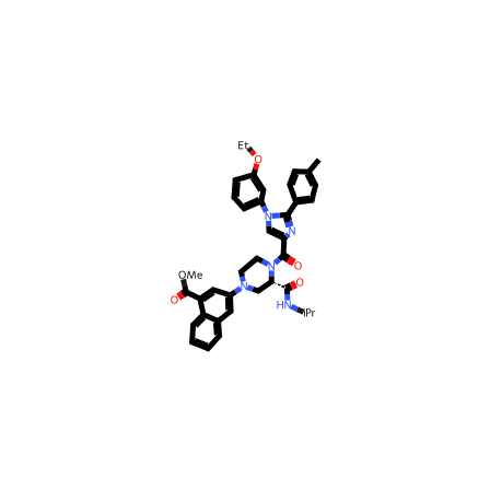 CCOc1cccc(-n2cc(C(=O)N3CCN(c4cc(C(=O)OC)c5ccccc5c4)C[C@H]3C(=O)NC(C)C)nc2-c2ccc(C)cc2)c1